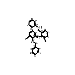 Cc1cccc(Pc2c(C)cccc2CPc2ccccc2)c1OCc1ccccc1